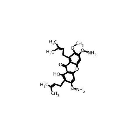 COc1c(ON)cc2oc3cc(ON)c(CC=C(C)C)c(O)c3c(=O)c2c1CC=C(C)C